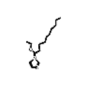 CCCCCCCCCC(OCC)n1ccnc1